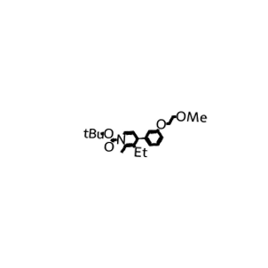 CCC1=C(C)N(C(=O)OC(C)(C)C)C=C[C@H]1c1cccc(OCCOC)c1